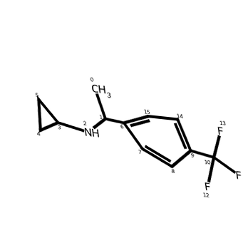 CC(NC1CC1)c1ccc(C(F)(F)F)cc1